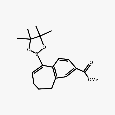 COC(=O)c1ccc2c(c1)CCCC=C2B1OC(C)(C)C(C)(C)O1